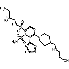 NC[C@@H](O)CNS(=O)(=O)c1ccc(N2CCC(CNCCO)CC2)c(-c2nn[nH]n2)c1S(N)(=O)=O